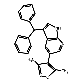 Cc1noc(C)c1-c1cnc2[nH]cc(C(c3ccccc3)c3ccccc3)c2c1